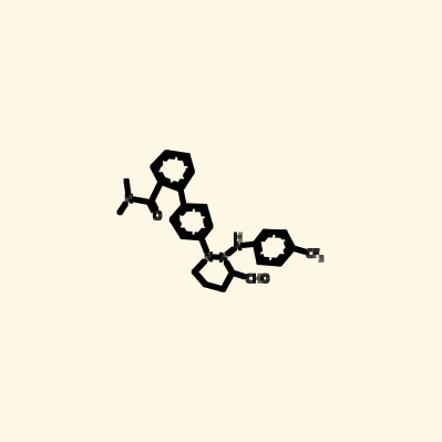 CN(C)C(=O)c1ccccc1-c1ccc(N2CCCC(C=O)N2Nc2ccc(C(F)(F)F)cc2)cc1